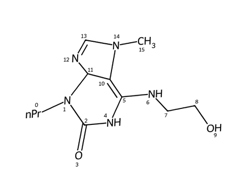 CCCN1C(=O)NC(NCCO)=C2C1N=CN2C